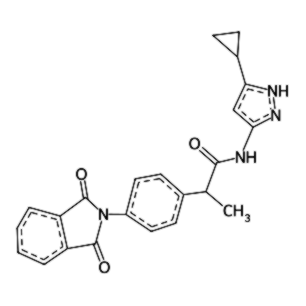 CC(C(=O)Nc1cc(C2CC2)[nH]n1)c1ccc(N2C(=O)c3ccccc3C2=O)cc1